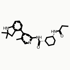 CCC(=O)N[C@@H]1CCC[C@H](C(=O)Nc2cc(-c3cccc4c3CC(C)(C)N4)c(C)cn2)C1